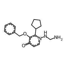 NCNn1ccc(=O)c(OCc2ccccc2)c1C1CCCC1